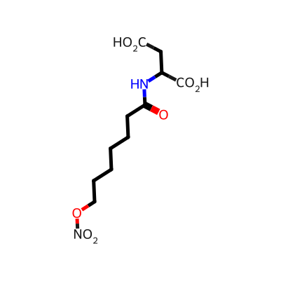 O=C(O)CC(NC(=O)CCCCCCO[N+](=O)[O-])C(=O)O